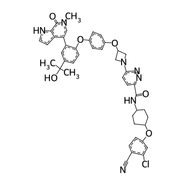 Cn1cc(-c2cc(C(C)(C)O)ccc2Oc2ccc(OC3CN(c4ccc(C(=O)NC5CCC(Oc6ccc(C#N)c(Cl)c6)CC5)nn4)C3)cc2)c2cc[nH]c2c1=O